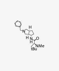 CN[C@@H](CC(C)(C)C)C(=O)N[C@H]1CC[C@@H]2CN(Cc3ccccc3)C[C@@H]21